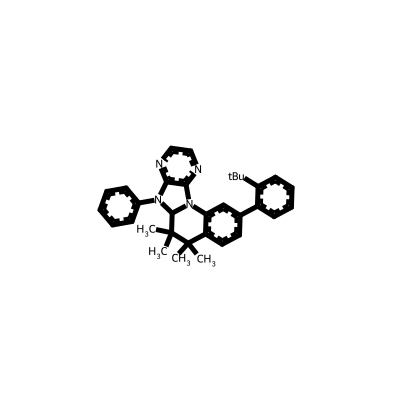 CC(C)(C)c1ccccc1-c1ccc2c(c1)N1c3nccnc3N(c3ccccc3)C1C(C)(C)C2(C)C